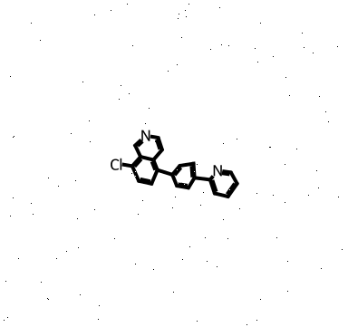 Clc1ccc(-c2ccc(-c3ccccn3)cc2)c2ccncc12